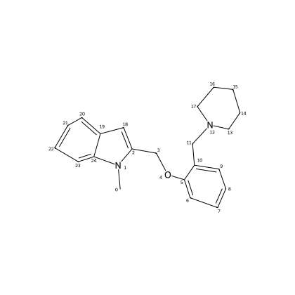 Cn1c(COc2ccccc2CN2CCCCC2)cc2ccccc21